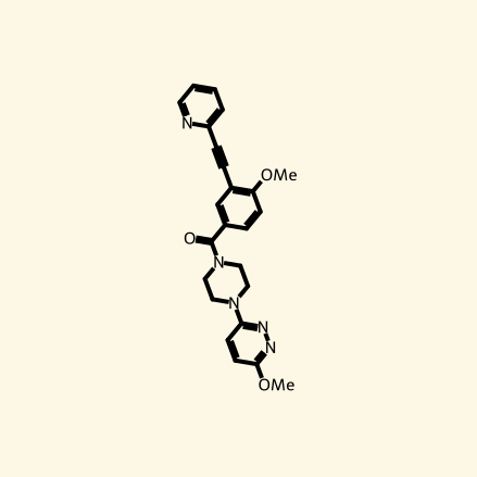 COc1ccc(N2CCN(C(=O)c3ccc(OC)c(C#Cc4ccccn4)c3)CC2)nn1